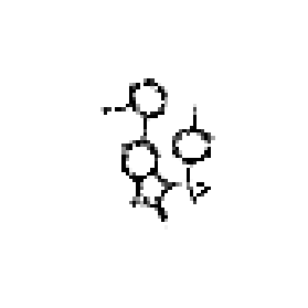 CC(C)c1ccccc1-c1ncc2[nH]c(=O)n(C3(c4ccc(F)cc4)CC3)c2n1